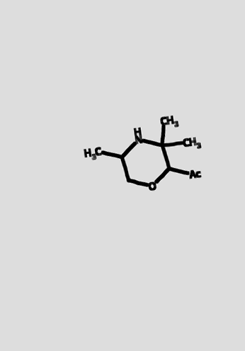 CC(=O)C1OCC(C)NC1(C)C